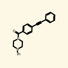 CC(C)N1CCN(C(=O)c2ccc(C#Cc3ccccc3)cc2)CC1